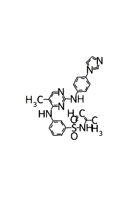 C=C(C)NS(=O)(=O)c1cccc(Nc2nc(Nc3ccc(-n4ccnc4)cc3)ncc2C)c1